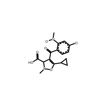 CN1OC(C2CC2)=C(C(=O)c2ccc(Cl)cc2[S+](C)[O-])C1C(=O)O